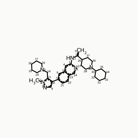 C=C(Nc1cc2cc(-c3cnn(C)c3CN3CCCCC3)ccc2cn1)C1CCN(C2CCCCC2)CC1